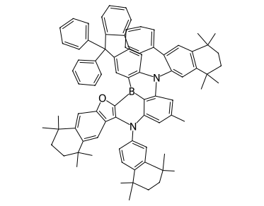 Cc1cc2c3c(c1)N(c1ccc4c(c1)C(C)(C)CCC4(C)C)c1c(oc4cc5c(cc14)C(C)(C)CCC5(C)C)B3c1cc3c(cc1N2c1cc2c(cc1-c1ccccc1)C(C)(C)CCC2(C)C)-c1ccccc1C3(c1ccccc1)c1ccccc1